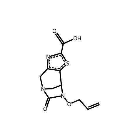 C=CCON1C(=O)N2Cc3nc(C(=O)O)sc3C1C2